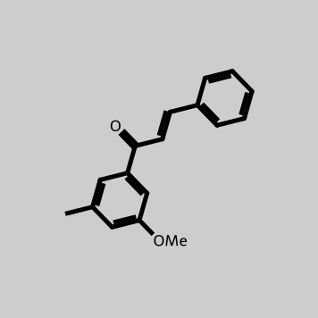 COc1cc(C)cc(C(=O)/C=C/c2ccccc2)c1